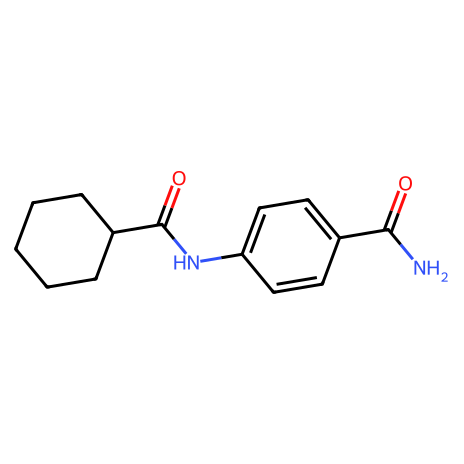 NC(=O)c1ccc(NC(=O)C2CCCCC2)cc1